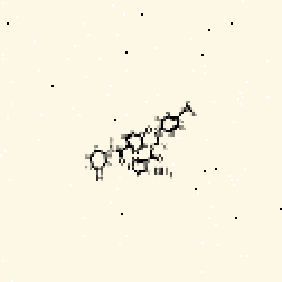 C[C@H](NC(=O)c1ccon1)[C@H](Oc1ccc(C(=O)N[C@H]2CCCNC2)nc1)c1ccc(C2CC2)cc1.N